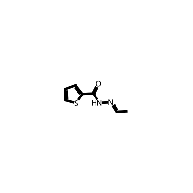 C/C=N/NC(=O)c1cccs1